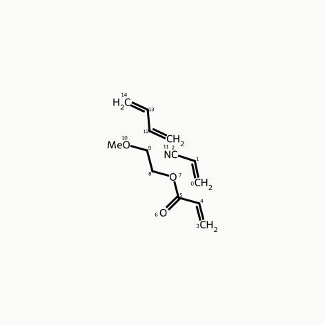 C=CC#N.C=CC(=O)OCCOC.C=CC=C